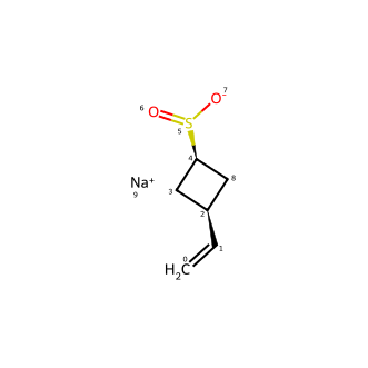 C=C[C@H]1C[C@@H](S(=O)[O-])C1.[Na+]